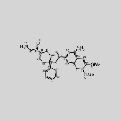 COc1cc2nc(N(C)CC3(c4ccccc4)CCN(C(=O)CN)CC3)nc(N)c2cc1OC